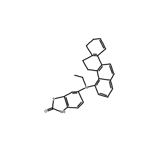 CCN(c1ccc2[nH]c(=O)sc2c1)c1cccc2ccc3c(c12)CCC1=C3C=CCC1